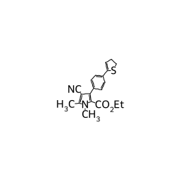 CCOC(=O)c1c(-c2ccc(C3=CCCS3)cc2)c(C#N)c(C)n1C